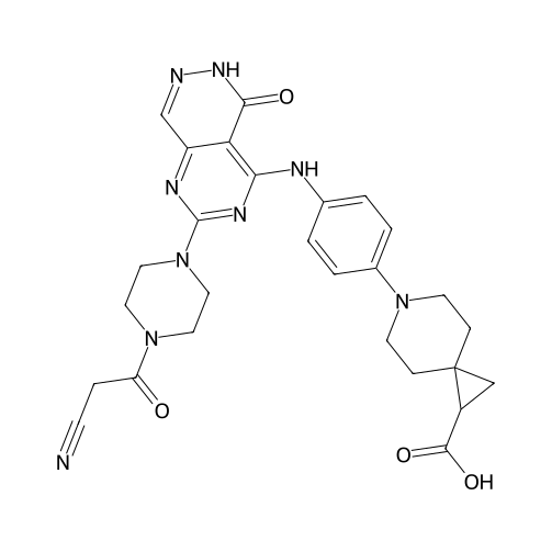 N#CCC(=O)N1CCN(c2nc(Nc3ccc(N4CCC5(CC4)CC5C(=O)O)cc3)c3c(=O)[nH]ncc3n2)CC1